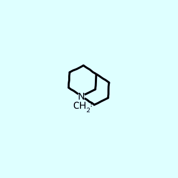 C1CC2CCCN(C1)C2.[CH2]